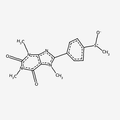 Cn1c(=O)c2c(nc(-c3ccc([S+](C)[O-])cc3)n2C)n(C)c1=O